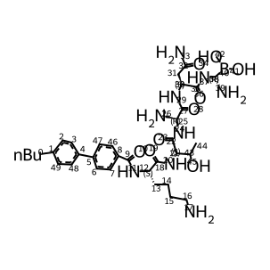 CCCCc1ccc(-c2ccc(C(=O)N[C@@H](CCCCN)C(=O)N[C@H](C(=O)N[C@@H](N)C(=O)N[C@@H](CC(N)=O)C(=O)N[C@@H](N)B(O)O)C(C)O)cc2)cc1